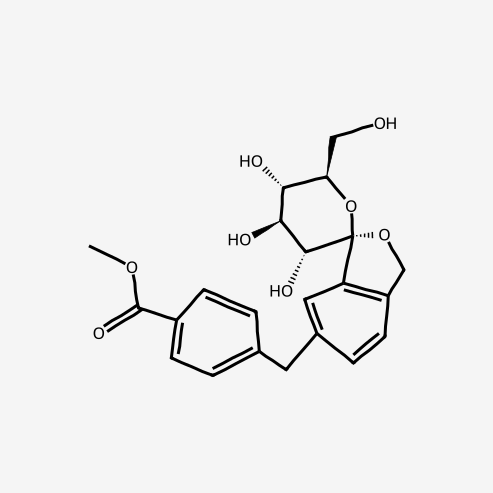 COC(=O)c1ccc(Cc2ccc3c(c2)[C@]2(OC3)O[C@H](CO)[C@@H](O)[C@H](O)[C@H]2O)cc1